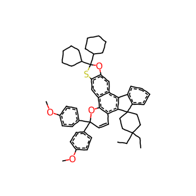 CCC1(CC)CCC2(CC1)c1ccccc1-c1c2c2c(c3cc4c(cc13)OC(C1CCCCC1)(C1CCCCC1)S4)OC(c1ccc(OC)cc1)(c1ccc(OC)cc1)C=C2